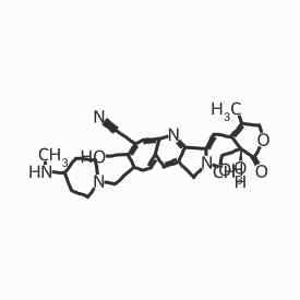 CC[C@@]1(O)C(=O)OCC(C)=C1/C=C1/c2nc3/c(cc2CN1O)=C/CC(CN1CCC(NC)CC1)/C(O)=C(C#N)\C=3